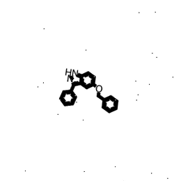 c1ccc(COc2ccc3[nH]nc(-c4ccccc4)c3c2)cc1